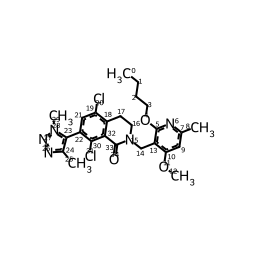 CCCCOc1nc(C)cc(OC)c1CN1CCc2c(Cl)cc(-c3c(C)nnn3C)c(Cl)c2C1=O